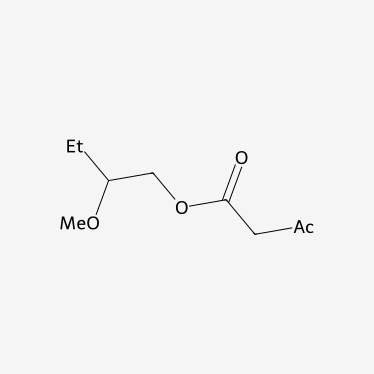 CCC(COC(=O)CC(C)=O)OC